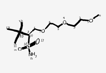 COCCOCCOC[C@H](C(C)(C)C)S(N)(=O)=O